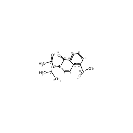 CC(C)[C@H](C(N)=O)n1ccc2c([N+](=O)[O-])cccc2c1=O